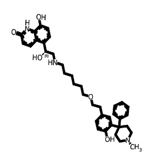 CN1CCC(c2ccccc2)(c2cc(CCOCCCCCCNC[C@H](O)c3ccc(O)c4[nH]c(=O)ccc34)ccc2O)CC1